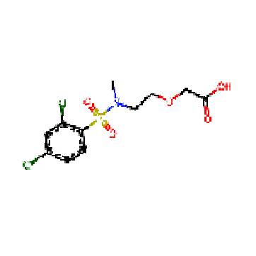 CN(CCOCC(=O)O)S(=O)(=O)c1ccc(Cl)cc1Cl